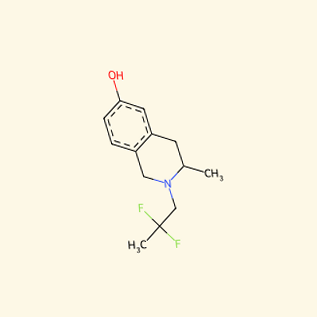 CC1Cc2cc(O)ccc2CN1CC(C)(F)F